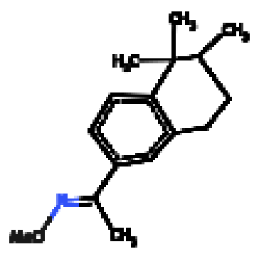 CO/N=C(\C)c1ccc2c(c1)CCC(C)C2(C)C